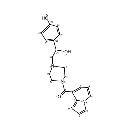 O=C(c1cccn2ccnc12)N1CCN(CC(O)c2ccc(O)cc2)CC1